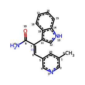 Cc1cncc(/C=C(/C(N)=O)c2c[nH]c3ccccc23)c1